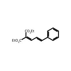 CCOC(=O)C(=CC=Cc1ccccc1)C(=O)OCC